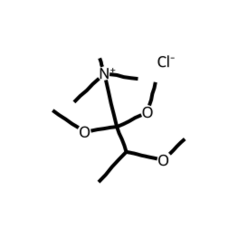 COC(C)C(OC)(OC)[N+](C)(C)C.[Cl-]